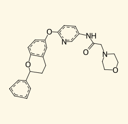 O=C(CN1CCOCC1)Nc1ccc(Oc2ccc3c(c2)CCC(c2ccccc2)O3)nc1